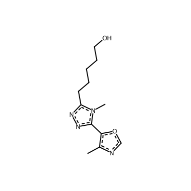 Cc1ncoc1-c1nnc(CCCCCO)n1C